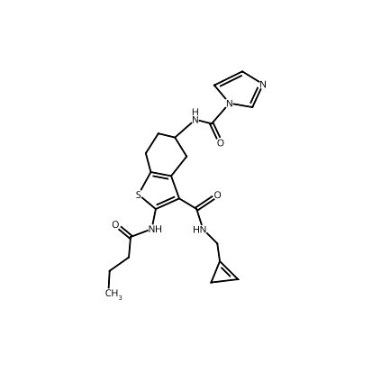 CCCC(=O)Nc1sc2c(c1C(=O)NCC1=CC1)CC(NC(=O)n1ccnc1)CC2